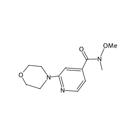 CON(C)C(=O)c1ccnc(N2CCOCC2)c1